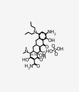 CCCN(CCC)c1cc(N)c(O)c2c1CC1CC3[C@H](N(C)C)C(O)=C(C(N)=O)C(=O)[C@@]3(O)C(O)=C1C2=O.O=S(=O)(O)O